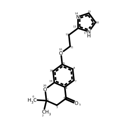 CC1(C)CC(=O)c2ccc(OCCc3ncc[nH]3)cc2O1